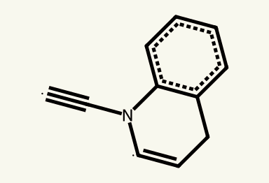 [C]#CN1[C]=CCc2ccccc21